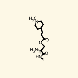 CN1CCC(CCC(=O)OC[C@H](N)C(=O)NI)CC1